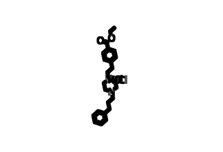 CCOC(=O)c1ccc(CCN2CCN(CCCc3ccccc3)CC2)cc1.Cl.Cl